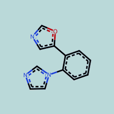 c1ccc(-n2ccnc2)c(-c2cnco2)c1